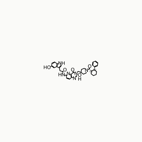 O=C(Cc1c[nH]c2ccc(O)cc12)Nc1ccc2ncn(CC3(O)CCN(C(=O)[C@H]4CCCC[C@@H]4c4ccccc4)CC3)c(=O)c2n1